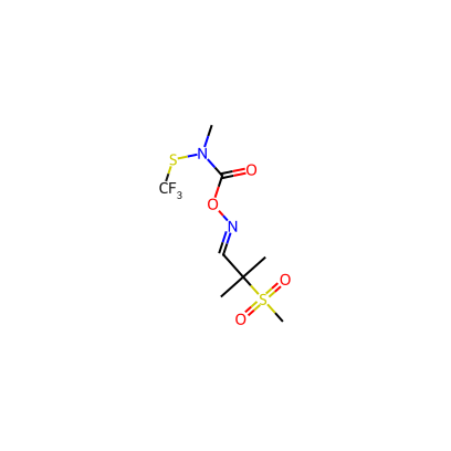 CN(SC(F)(F)F)C(=O)ON=CC(C)(C)S(C)(=O)=O